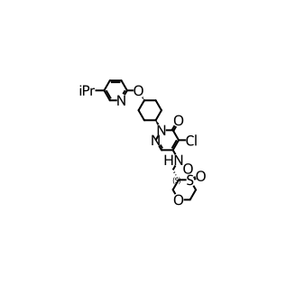 CC(C)c1ccc(O[C@H]2CC[C@H](n3ncc(NC[C@H]4COCCS4(=O)=O)c(Cl)c3=O)CC2)nc1